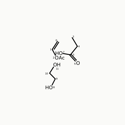 C=COC(C)=O.CCC(=O)O.OCCO